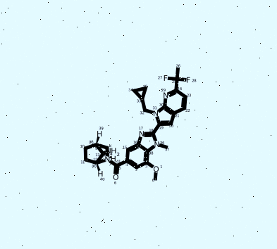 COc1cc(C(=O)N2C[C@H]3CC[C@@H]2[C@@H]3N)cc2nc(-c3cc4ccc(C(C)(F)F)nc4n3CC3CC3)n(C)c12